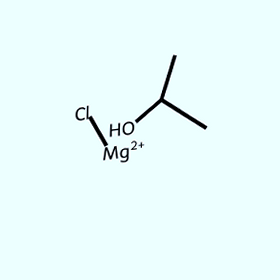 CC(C)O.[Mg+2][Cl]